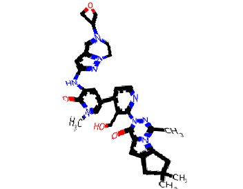 Cc1nn(-c2nccc(-c3cc(Nc4cc5n(n4)CCN(C4COC4)C5)c(=O)n(C)c3)c2CO)c(=O)c2cc3c(n12)CC(C)(C)C3